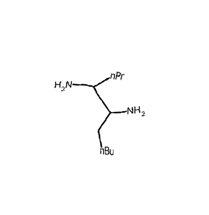 CCCCCC(N)C(N)CCC